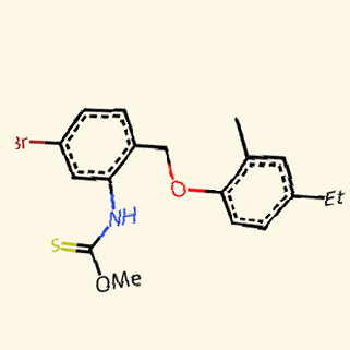 CCc1ccc(OCc2ccc(Br)cc2NC(=S)OC)c(C)c1